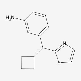 Nc1cccc(C(c2nccs2)C2CCC2)c1